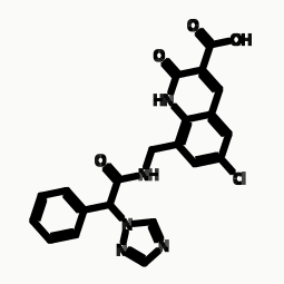 O=C(O)c1cc2cc(Cl)cc(CNC(=O)C(c3ccccc3)n3cncn3)c2[nH]c1=O